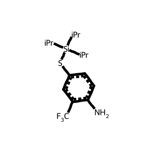 CC(C)[Si](Sc1ccc(N)c(C(F)(F)F)c1)(C(C)C)C(C)C